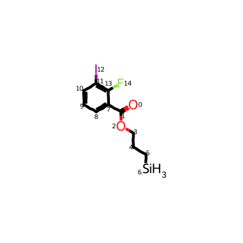 O=C(OCCC[SiH3])c1cccc(I)c1F